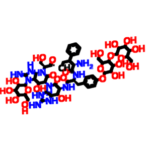 CCC(c1ccccc1)[C@H](N)C(=O)N[C@@H](Cc1ccc(OC2OC(CO)C(OC3OC(CO)C(O)C(O)C3O)C(O)C2O)cc1)C(=O)N[C@H](C(=O)N[C@H](C(=O)N[C@H]([C]=O)CO)C(O)C1CNC(=N)N1C1OC(CO)C(O)C(O)C1O)C(O)C1CNC(=N)N1